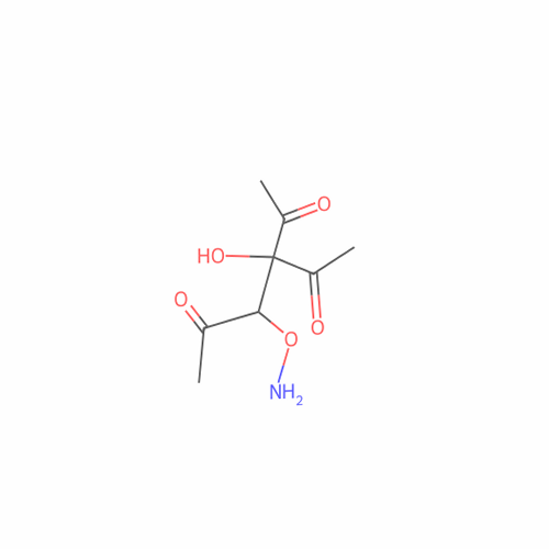 CC(=O)C(ON)C(O)(C(C)=O)C(C)=O